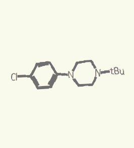 CC(C)(C)N1CCN(c2ccc(Cl)cc2)CC1